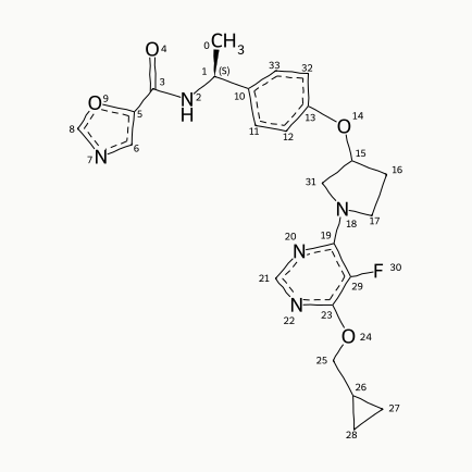 C[C@H](NC(=O)c1cnco1)c1ccc(OC2CCN(c3ncnc(OCC4CC4)c3F)C2)cc1